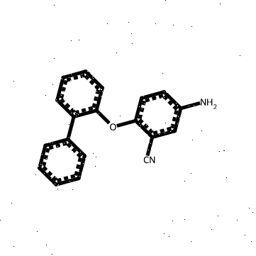 N#Cc1cc(N)ccc1Oc1ccccc1-c1ccccc1